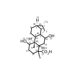 C[C@@H]1C[C@@]23C[C@H]1CC[C@@H]2[C@@]1(C)C(O)CCC(C)(C(=O)O)[C@@H]1CC3O